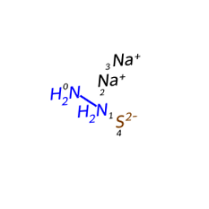 NN.[Na+].[Na+].[S-2]